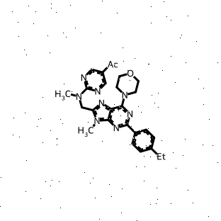 CCc1ccc(-c2nc(N3CCOCC3)c3nc(CN(C)c4ncc(C(C)=O)cn4)n(C)c3n2)cc1